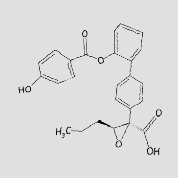 CCC[C@@H]1O[C@]1(C(=O)O)c1ccc(-c2ccccc2OC(=O)c2ccc(O)cc2)cc1